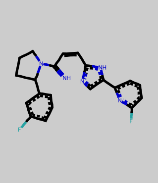 N=C(/C=C\c1ncc(-c2cccc(F)n2)[nH]1)N1CCCC1c1cccc(F)c1